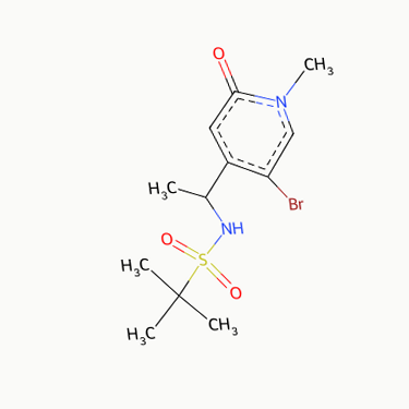 CC(NS(=O)(=O)C(C)(C)C)c1cc(=O)n(C)cc1Br